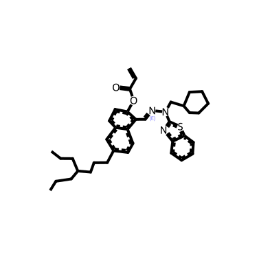 C=CC(=O)Oc1ccc2cc(CCCC(CCC)CCC)ccc2c1/C=N/N(CC1CCCCC1)c1nc2ccccc2s1